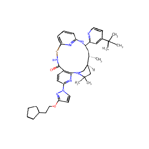 C[C@H]1CC(c2cc(C(C)(C)C)ccn2)Nc2cccc(n2)SNC(=O)c2ccc(-n3ccc(OCCC4CCCC4)n3)nc2N2C[C@@H]1CC2(C)C